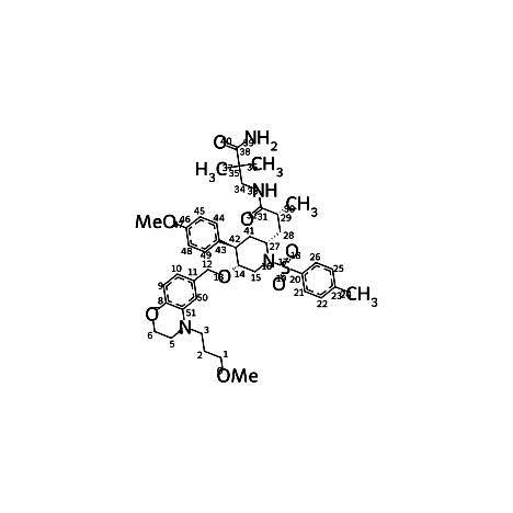 COCCCN1CCOc2ccc(CO[C@H]3CN(S(=O)(=O)c4ccc(C)cc4)[C@@H](C[C@@H](C)C(=O)NCC(C)(C)C(N)=O)C[C@@H]3c3ccc(OC)cc3)cc21